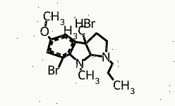 Br.CCCN1CCC2(C)c3cc(OC)cc(Br)c3N(C)C12